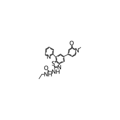 CCNC(=O)Nc1nc2cc(-c3ccn(C)c(=O)c3)cc(-c3ccccn3)c2s1